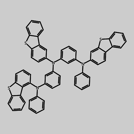 c1ccc(N(c2cccc(N(c3cccc(N(c4ccccc4)c4cccc5sc6ccccc6c45)c3)c3ccc4sc5ccccc5c4c3)c2)c2ccc3c(c2)sc2ccccc23)cc1